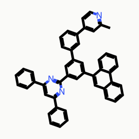 Cc1cc(-c2cccc(-c3cc(-c4nc(-c5ccccc5)cc(-c5ccccc5)n4)cc(-c4cc5ccccc5c5ccccc45)c3)c2)ccn1